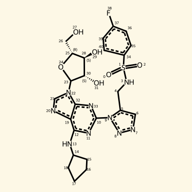 O=S(=O)(NCc1cnnn1-c1nc(NC2CCCC2)c2ncn(C3O[C@H](CO)[C@@H](O)[C@@H]3O)c2n1)c1ccc(F)cc1